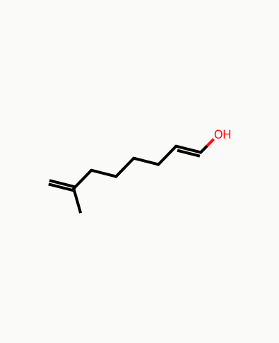 C=C(C)CCCCC=CO